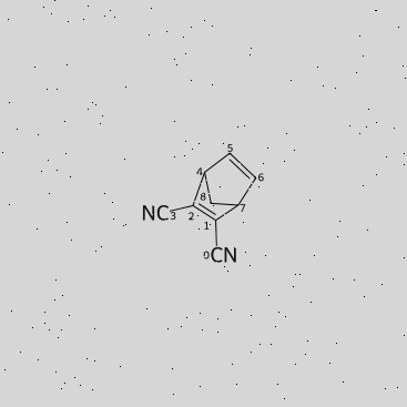 N#CC1=C(C#N)C2C=CC1C2